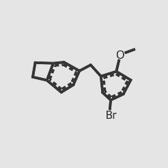 COc1ccc(Br)cc1Cc1ccc2c(c1)CC2